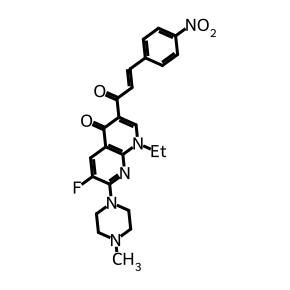 CCn1cc(C(=O)C=Cc2ccc([N+](=O)[O-])cc2)c(=O)c2cc(F)c(N3CCN(C)CC3)nc21